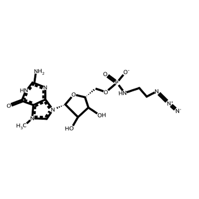 C[n+]1cn([C@@H]2O[C@H](COP(=O)([O-])NCCN=[N+]=[N-])C(O)C2O)c2nc(N)[nH]c(=O)c21